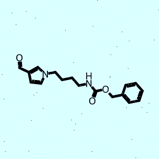 O=Cc1ccn(CCCCNC(=O)OCc2ccccc2)c1